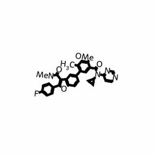 CNC(=O)c1c(-c2ccc(F)cc2)oc2ccc(-c3cc(C(=O)N(c4ccncn4)C4CC4)c(OC)cc3C)cc12